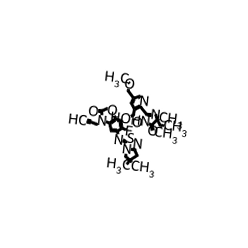 C#CCN1C(=O)COc2cc(F)c(/N=c3\snc4n3CC(C)(C)C4)cc21.COCc1cnc(C2=NC(C)(C(C)C)C(=O)N2)c(C(=O)O)c1